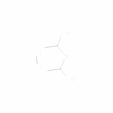 COC(C)NC(C)OC.O=CO